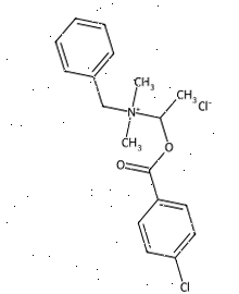 CC(OC(=O)c1ccc(Cl)cc1)[N+](C)(C)Cc1ccccc1.[Cl-]